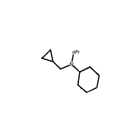 CCCN(CC1CC1)C1CCCCC1